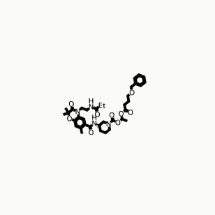 CCC(=O)NCCN1C(=O)C(C)(C)Oc2cc(C)c(C(=O)N[C@@H]3CCCN(C(=O)OC(C)OC(=O)CCCOCc4ccccc4)C3)cc21